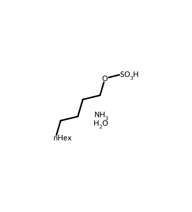 CCCCCCCCCCOS(=O)(=O)O.N.O